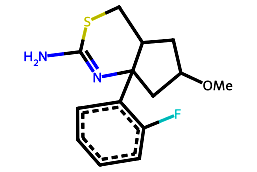 COC1CC2CSC(N)=NC2(c2ccccc2F)C1